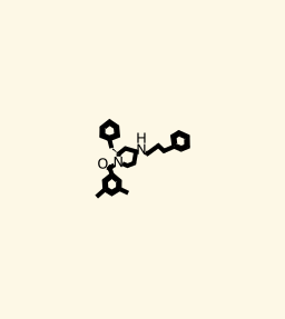 Cc1cc(C)cc(C(=O)N2CC[C@H](NCCCc3ccccc3)C[C@H]2Cc2ccccc2)c1